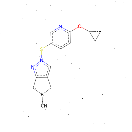 N#CB1Cc2cn(Sc3ccc(OC4CC4)nc3)nc2C1